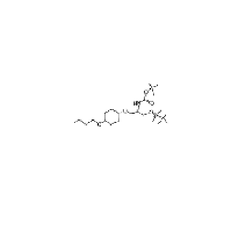 CCCCO[C@H]1CC[C@H](OC[C@H](CO[Si](C)(C)C(C)(C)C)NC(=O)OC(C)(C)C)CC1